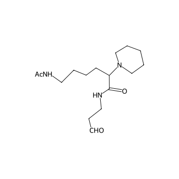 CC(=O)NCCCCC(C(=O)NCCC=O)N1CCCCC1